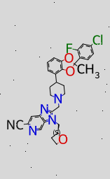 CC1(c2ccc(Cl)cc2F)Oc2cccc(C3CCN(Cc4nc5cc(C#N)ncc5n4C[C@@H]4CCO4)CC3)c2O1